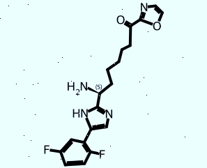 N[C@@H](CCCCCC(=O)c1ncco1)c1ncc(-c2cc(F)ccc2F)[nH]1